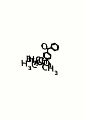 CC(C)(Br)CC(C)(C)Oc1ccc(C(=O)c2ccccc2)cc1